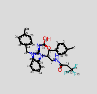 Cc1ccc(CC(CNC(=O)CC(F)(F)F)n2c(=NC(=O)O)n(Cc3ccc(C)cc3)c3ccccc32)cc1